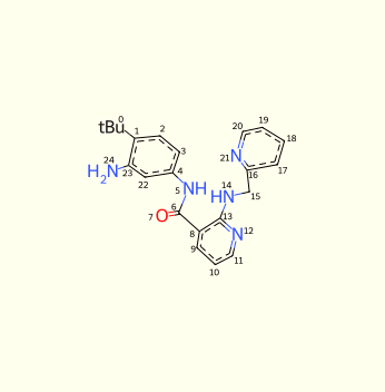 CC(C)(C)c1ccc(NC(=O)c2cccnc2NCc2ccccn2)cc1N